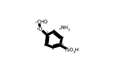 N.O=COc1ccc(S(=O)(=O)O)cc1